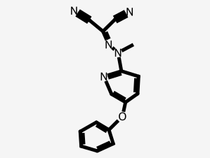 CN(N=C(C#N)C#N)c1ccc(Oc2ccccc2)cn1